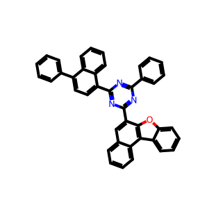 c1ccc(-c2nc(-c3ccc(-c4ccccc4)c4ccccc34)nc(-c3cc4ccccc4c4c3oc3ccccc34)n2)cc1